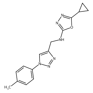 Cc1ccc(-n2cc(CNc3nnc(C4CC4)o3)nn2)cc1